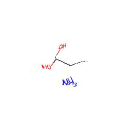 N.[CH2]CC(O)O